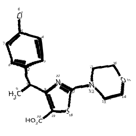 CC(c1ccc(Cl)cc1)c1nc(N2CCOCC2)sc1C(=O)O